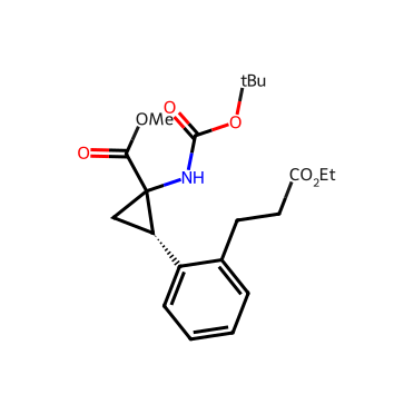 CCOC(=O)CCc1ccccc1[C@@H]1CC1(NC(=O)OC(C)(C)C)C(=O)OC